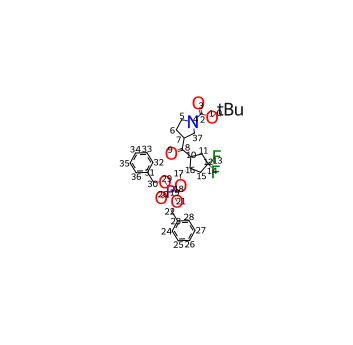 CC(C)(C)OC(=O)N1CCC(C(=O)C2CC(F)(F)C[C@@H]2COP(=O)(OCc2ccccc2)OCc2ccccc2)C1